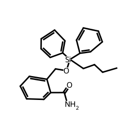 CCCC[Si](OCc1ccccc1C(N)=O)(c1ccccc1)c1ccccc1